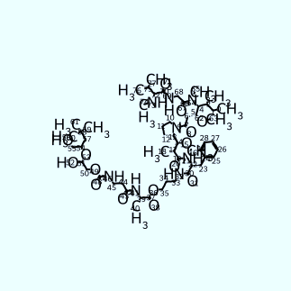 CC[C@H](C)[C@@H]([C@@H](CC(=O)N1CCC[C@H]1[C@H](OC)[C@@H](C)C(=O)N[C@@H](Cc1ccccc1)C(=O)NCCCOC(=O)[C@H](C)NC(=O)CCNC(=O)OCC(O)OC(CO)CC(C)(C)C)OC)N(C)C(=O)CNC(=O)[C@@H](NC)C(C)C